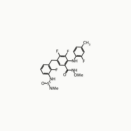 CN[S+]([O-])Nc1cccc(Cc2cc(C(=O)NOC)c(Nc3ccc(C)cc3F)c(F)c2F)c1F